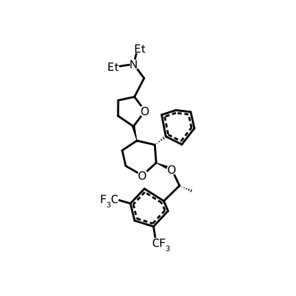 CCN(CC)CC1CCC([C@@H]2CCO[C@H](O[C@H](C)c3cc(C(F)(F)F)cc(C(F)(F)F)c3)[C@H]2c2ccccc2)O1